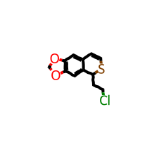 ClCCC1SC=Cc2cc3c(cc21)OCO3